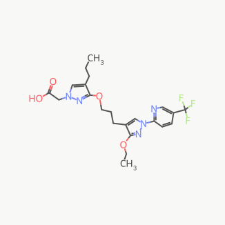 CCCc1cn(CC(=O)O)nc1OCCCc1cn(-c2ccc(C(F)(F)F)cn2)nc1OCC